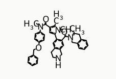 Cc1c(C(=O)N(C)c2ccc(OCc3ccccc3)cc2)cc(-c2cc3c(cc2C(=O)N2Cc4ccccc4C[C@H]2C)CNCC3)n1C